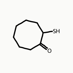 O=C1CCCCCCC1S